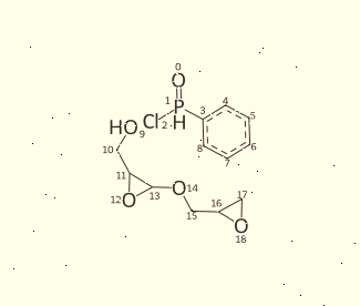 O=[PH](Cl)c1ccccc1.OCC1OC1OCC1CO1